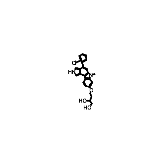 Cn1c2cc(OCCC(O)CO)ccc2c2c3c[nH]cc3c(-c3ccccc3Cl)cc21